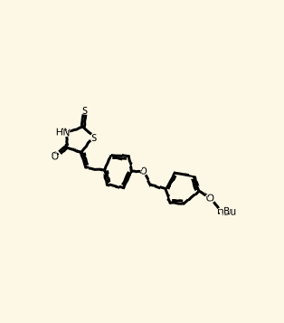 CCCCOc1ccc(COc2ccc(/C=C3\SC(=S)NC3=O)cc2)cc1